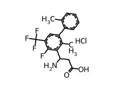 Cc1ccccc1-c1cc(C(F)(F)F)c(F)c(C(N)CC(=O)O)c1C.Cl